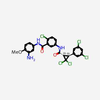 COc1ccc(NC(=O)c2cc(NC(=O)[C@@H]3[C@@H](c4cc(Cl)cc(Cl)c4)C3(Cl)Cl)ccc2Cl)cc1N